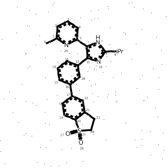 Cc1cccc(-c2[nH]c(C(C)C)nc2-c2cccc(-c3ccc4c(c3)CCS4(=O)=O)c2)n1